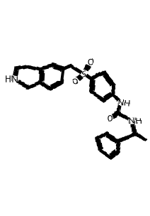 CC(NC(=O)Nc1ccc(S(=O)(=O)Cc2ccc3c(c2)CCNC3)cc1)c1ccccc1